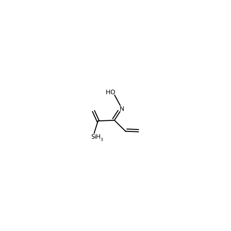 C=CC(=NO)C(=C)[SiH3]